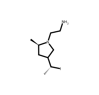 C[C@@H]1CC([C@@H](C)I)CN1CCN